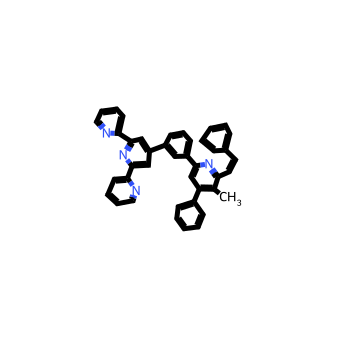 Cc1c(-c2ccccc2)cc(-c2cccc(-c3cc(-c4ccccn4)nc(-c4ccccn4)c3)c2)nc1/C=C\c1ccccc1